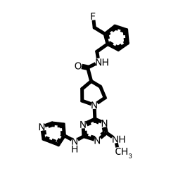 CNc1nc(Nc2ccncc2)nc(N2CCC(C(=O)NCc3ccccc3CF)CC2)n1